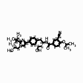 CC(C)Oc1ccc(C(=O)N[C@H](CCO)Cc2ccc(-c3cn(CCO)c(C(C)(C)C)n3)cc2)cc1C#N